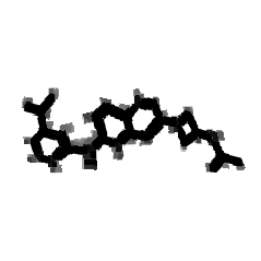 CC(C)OC1CN(c2cnc3ccc(Nc4cc(C(C)C)cnn4)nc3c2)C1